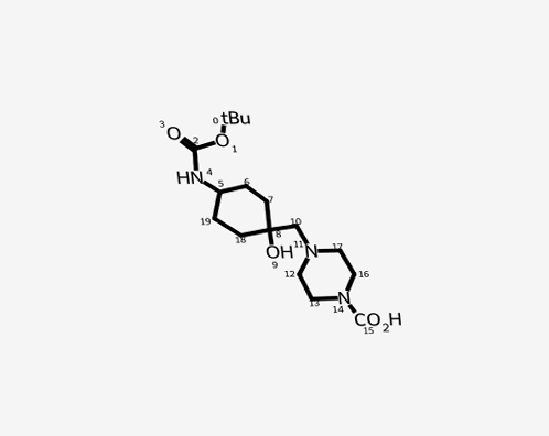 CC(C)(C)OC(=O)NC1CCC(O)(CN2CCN(C(=O)O)CC2)CC1